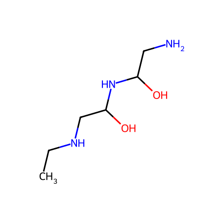 CCNCC(O)NC(O)CN